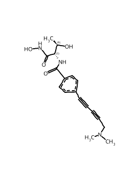 C[C@@H](O)[C@H](NC(=O)c1ccc(C#CC#CCN(C)C)cc1)C(=O)NO